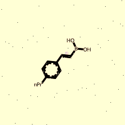 CCCc1ccc(/C=C/B(O)O)cc1